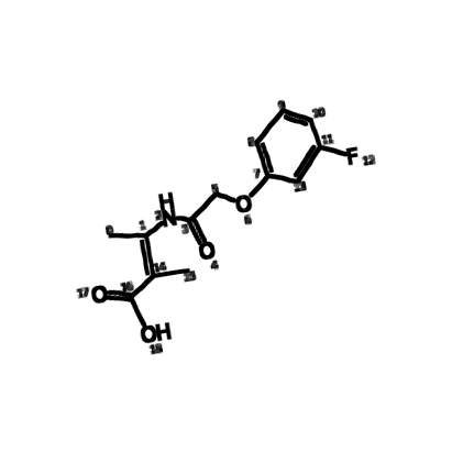 CC(NC(=O)COc1cccc(F)c1)=C(C)C(=O)O